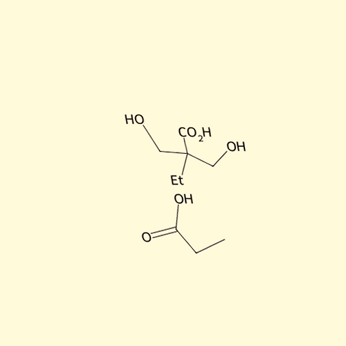 CCC(=O)O.CCC(CO)(CO)C(=O)O